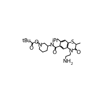 Cc1cc2c(cc1C(=O)N(C(C)C)C1CCCN(OC(=O)C(C)(C)C)C1)N(CCN)C(=O)C(C)S2